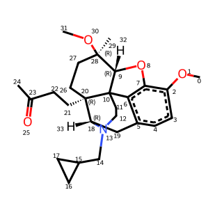 COc1ccc2c3c1O[C@@H]1C34CCN(CC3CC3)[C@H](C2)[C@@]4(CCC(C)=O)CC[C@@]1(C)OC